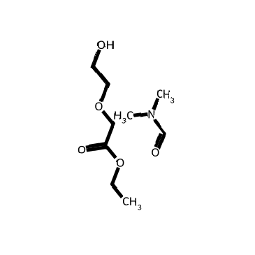 CCOC(=O)COCCO.CN(C)C=O